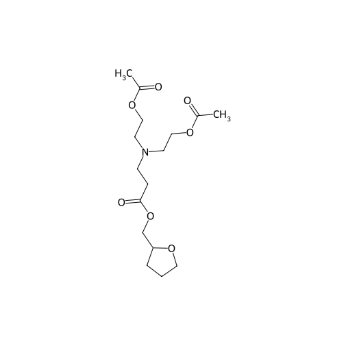 CC(=O)OCCN(CCOC(C)=O)CCC(=O)OCC1CCCO1